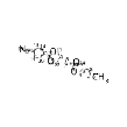 CC=C[C@H]1CO[C@H](CC[C@H]2CO[C@H](c3ccc(C#N)cc3)OC2)OC1